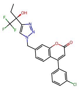 CC[C@](O)(c1cn(Cc2ccc3c(-c4cccc(Cl)c4)cc(=O)oc3c2)nn1)C(F)(F)F